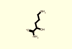 NCCCC(O)C(N)=O